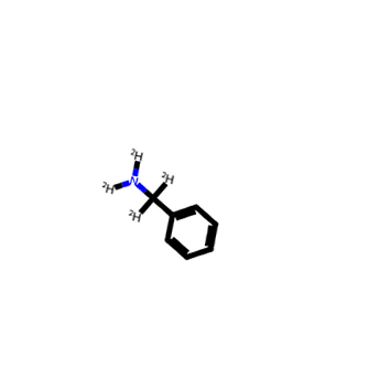 [2H]N([2H])C([2H])([2H])c1ccccc1